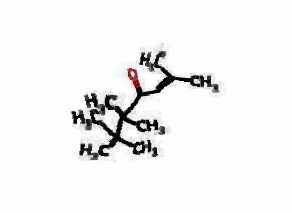 CC(C)=CC(=O)C(C)(C)C(C)(C)C